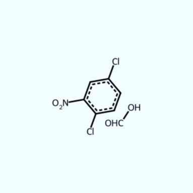 O=CO.O=[N+]([O-])c1cc(Cl)ccc1Cl